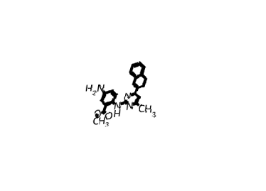 COC(=O)c1cc(N)ccc1Nc1nc(C)cc(-c2ccc3ccccc3c2)n1